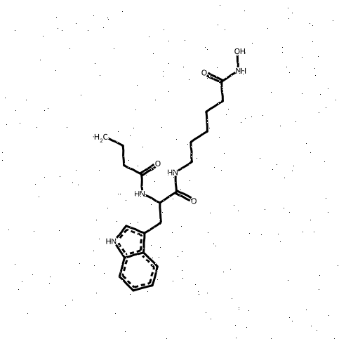 [CH2]CCC(=O)NC(Cc1c[nH]c2ccccc12)C(=O)NCCCCCC(=O)NO